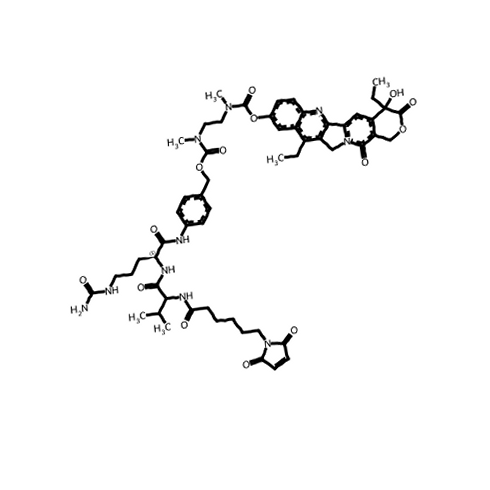 CCc1c2c(nc3ccc(OC(=O)N(C)CCN(C)C(=O)OCc4ccc(NC(=O)[C@H](CCCNC(N)=O)NC(=O)C(NC(=O)CCCCCN5C(=O)C=CC5=O)C(C)C)cc4)cc13)-c1cc3c(c(=O)n1C2)COC(=O)C3(O)CC